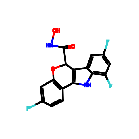 O=C(NO)C1Oc2cc(F)ccc2-c2[nH]c3c(F)cc(F)cc3c21